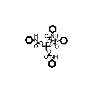 O=C(NC1CCCCC1)OCC(COC(=O)NC1CCCCC1)(COC(=O)NC1CCCCC1)COC(=O)NC1CCCCC1